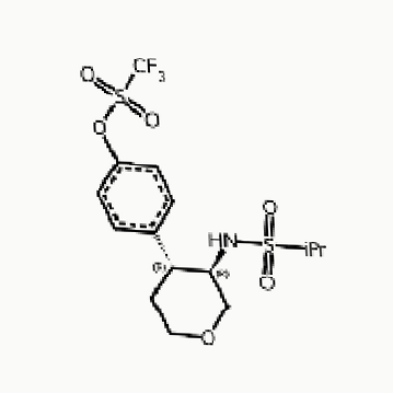 CC(C)S(=O)(=O)N[C@H]1COCC[C@@H]1c1ccc(OS(=O)(=O)C(F)(F)F)cc1